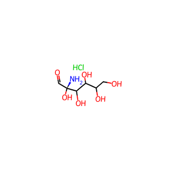 Cl.N[C@@](O)(C=O)C(O)C(O)C(O)CO